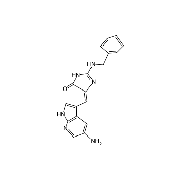 Nc1cnc2[nH]cc(/C=C3/N=C(NCc4ccccc4)NC3=O)c2c1